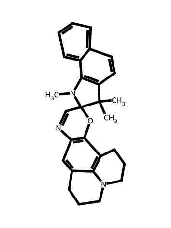 CN1c2c(ccc3ccccc23)C(C)(C)C12C=Nc1cc3c4c(c1O2)CCCN4CCC3